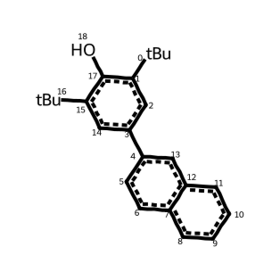 CC(C)(C)c1cc(-c2ccc3ccccc3c2)cc(C(C)(C)C)c1O